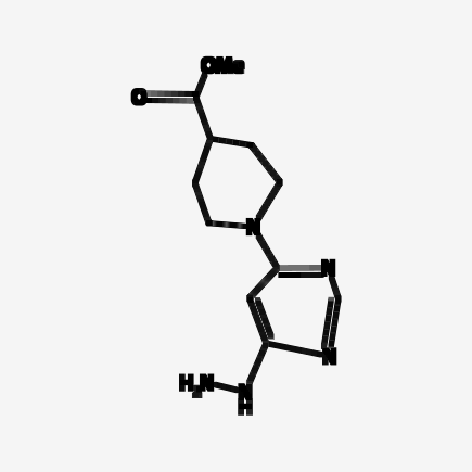 COC(=O)C1CCN(c2cc(NN)ncn2)CC1